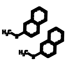 CSc1ccc2ccccc2c1.CSc1ccc2ccccc2c1